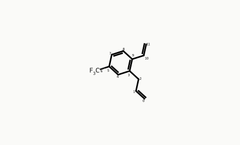 C=CCc1cc(C(F)(F)F)ccc1C=C